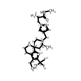 CNC(=O)C(C)Cn1cc(CN2CC[C@]3(C[C@@H]2C)OCCc2c3sc(C(F)(F)F)c2CO)cn1